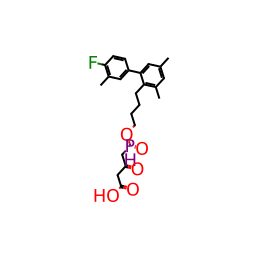 Cc1cc(C)c(CCCCO[PH](=O)CC(=O)CC(=O)O)c(-c2ccc(F)c(C)c2)c1